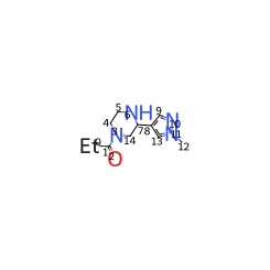 CCC(=O)N1CCNC(c2cnn(C)c2)C1